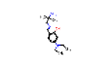 CCN(CC)c1ccc(C=NCC(C)(C)N)c(O)c1